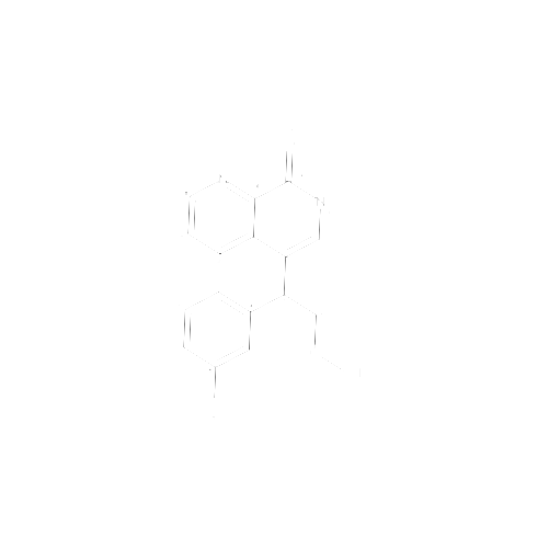 O=COCC(c1cccc(F)c1)c1c[nH]c(=O)c2ncccc12